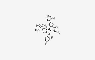 Cn1cc(-c2cc(C(C)(C)O)ccc2Oc2ccc(F)cc2F)c2cc(C(=O)NC(C)(C)C)sc2c1=O